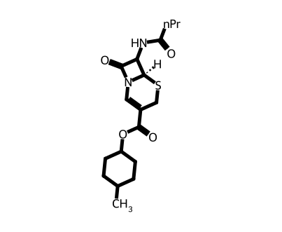 CCCC(=O)NC1C(=O)N2C=C(C(=O)OC3CCC(C)CC3)CS[C@H]12